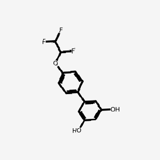 Oc1cc(O)cc(-c2ccc(OC(F)C(F)F)cc2)c1